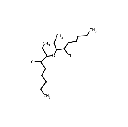 CCCCCC(Cl)C(CC)OC(CC)C(Cl)CCCCC